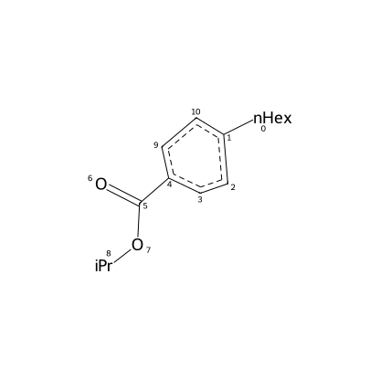 [CH]CCCCCc1ccc(C(=O)OC(C)C)cc1